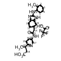 Cc1ccccc1Nc1nc2ccc(CC(=O)Nc3ccc(C(C)CC(=O)O)nc3)cc2[nH]1.O=C(O)C(F)(F)F